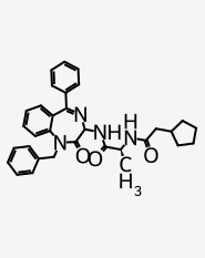 C[C@H](NC(=O)CC1CCCC1)C(=O)NC1N=C(c2ccccc2)c2ccccc2N(Cc2ccccc2)C1=O